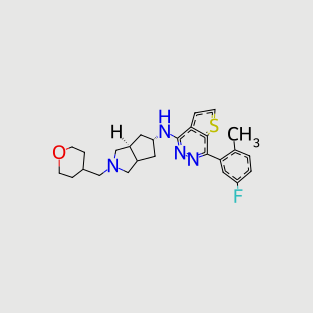 Cc1ccc(F)cc1-c1nnc(N[C@@H]2CC3CN(CC4CCOCC4)C[C@H]3C2)c2ccsc12